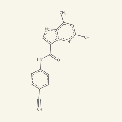 C#Cc1ccc(NC(=O)c2cnc3c(C)cc(C)nn23)cc1